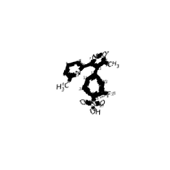 Cc1cccc(-c2noc(C)c2-c2ccc(S(=O)(=O)O)c(F)c2)n1